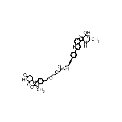 C[C@@H]1CNc2c(sc3ccc4nc(-c5ccc(C#CCCNC(=O)COCCOCCc6ccc7c(c6)n(C)c(=O)n7C6CCC(=O)NC6=O)cc5)ccc4c23)C(=O)N1